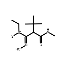 CC[S+]([O-])/C(=N\O)C(C(=O)NC)C(C)(C)C